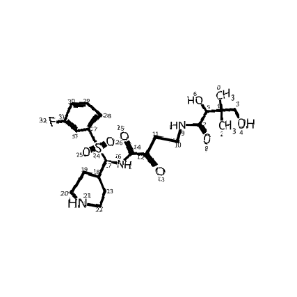 CC(C)(CO)C(O)C(=O)NCCC(=O)C(=O)N[C@@H](C1CCNCC1)S(=O)(=O)c1cccc(F)c1